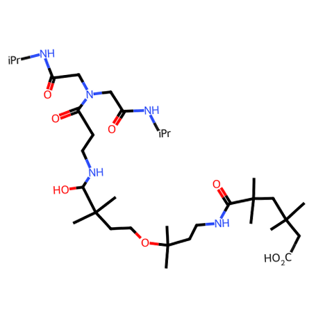 CC(C)NC(=O)CN(CC(=O)NC(C)C)C(=O)CCNC(O)C(C)(C)CCOC(C)(C)CCNC(=O)C(C)(C)CC(C)(C)CC(=O)O